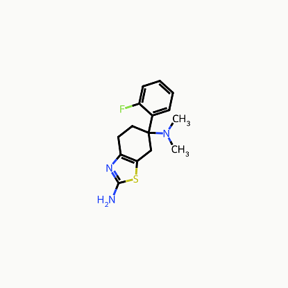 CN(C)C1(c2ccccc2F)CCc2nc(N)sc2C1